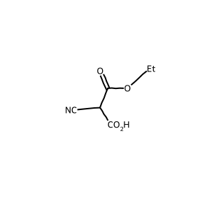 CCOC(=O)C(C#N)C(=O)O